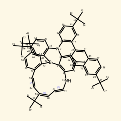 Cc1cc2c3c(c1)N(c1ccc(C(C)(C)C)cc1-c1ccc4cc(C(C)(C)C)ccc4c1)c1ccc(C(C)(C)C)cc1B3c1cc(C(C)(C)C)ccc1\C=C/C(C(C)(C)C)=C\C=C\N2